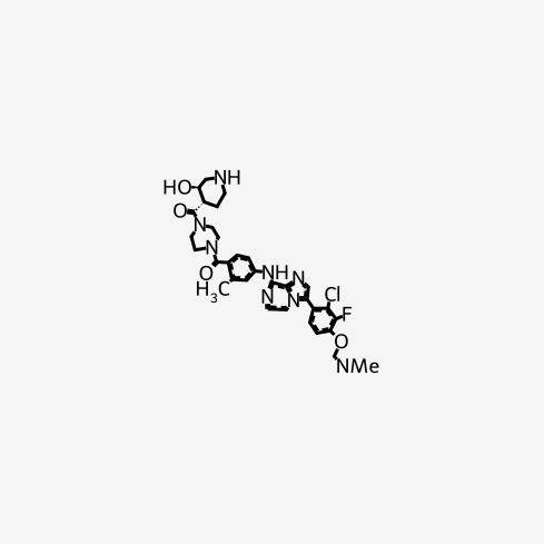 CNCOc1ccc(-c2cnc3c(Nc4ccc(C(=O)N5CCN(C(=O)[C@H]6CCNC[C@@H]6O)CC5)c(C)c4)nccn23)c(Cl)c1F